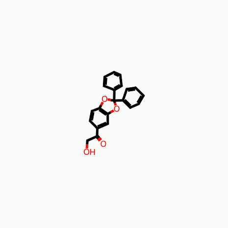 O=C(CO)c1ccc2c(c1)OC(c1ccccc1)(c1ccccc1)O2